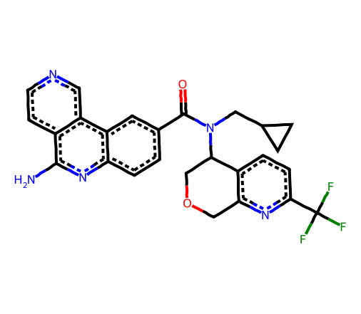 Nc1nc2ccc(C(=O)N(CC3CC3)C3COCc4nc(C(F)(F)F)ccc43)cc2c2cnccc12